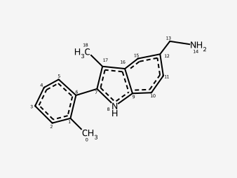 Cc1ccccc1-c1[nH]c2ccc(CN)cc2c1C